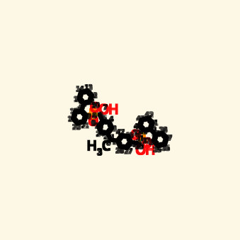 CC(c1ccc(C(O)P2(=O)Oc3ccccc3-c3ccccc32)cc1)c1ccc(C(O)P2(=O)Oc3ccccc3-c3ccccc32)cc1